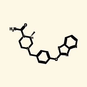 C[C@@H]1CN(Cc2ccc(Oc3nc4ncccc4s3)cc2)CCN1C(N)=O